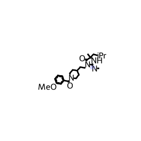 C/N=C1\NC(C)(CC(C)C)C(=O)N1CCC1CCN(C(=O)c2cccc(OC)c2)CC1